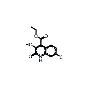 CCOC(=O)c1c(O)c(=O)[nH]c2cc(Cl)ccc12